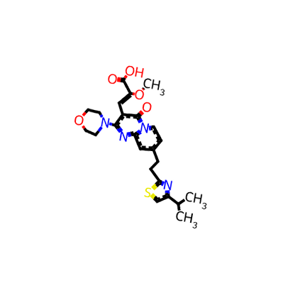 COC(=Cc1c(N2CCOCC2)nc2cc(CCc3nc(C(C)C)cs3)ccn2c1=O)C(=O)O